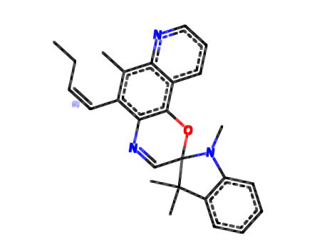 CC/C=C\c1c2c(c3cccnc3c1C)OC1(C=N2)N(C)c2ccccc2C1(C)C